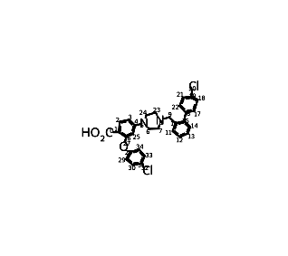 O=C(O)c1ccc(N2CCN(Cc3ccccc3-c3ccc(Cl)cc3)CC2)cc1Oc1ccc(Cl)cc1